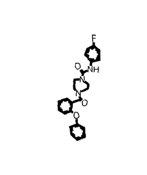 O=C(Nc1ccc(F)cc1)N1CCN(C(=O)c2ccccc2Oc2ccccc2)CC1